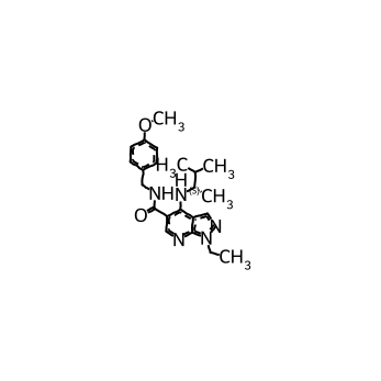 CCn1ncc2c(N[C@@H](C)C(C)C)c(C(=O)NCc3ccc(OC)cc3)cnc21